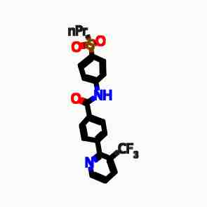 CCCS(=O)(=O)c1ccc(NC(=O)c2ccc(-c3ncccc3C(F)(F)F)cc2)cc1